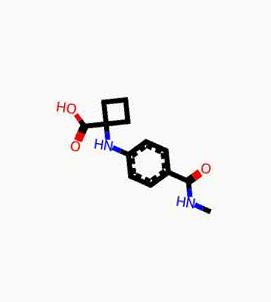 CNC(=O)c1ccc(NC2(C(=O)O)CCC2)cc1